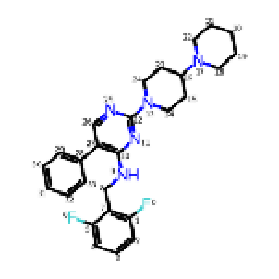 Fc1cccc(F)c1CNc1nc(N2CCC(N3CCCCC3)CC2)ncc1-c1ccccc1